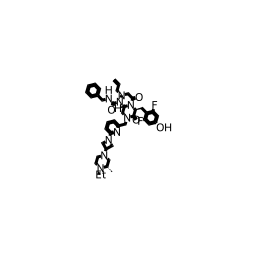 C=CCN1CC(=O)N2[C@@H](Cc3c(F)cc(O)cc3F)C(=O)N(Cc3cccc(N4CC(N5CCN(CC)[C@@H](C)C5)C4)n3)C[C@@H]2N1C(=O)NCc1ccccc1